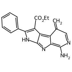 C=c1cnc(N)c2c1=c1c(C(=O)OCC)c(-c3ccccc3)[nH]c1=N2